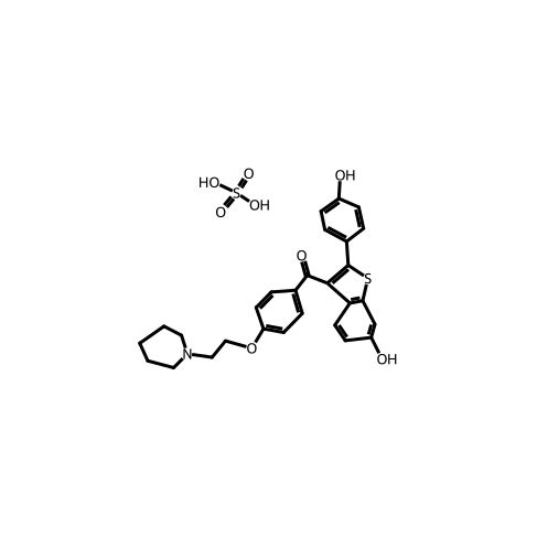 O=C(c1ccc(OCCN2CCCCC2)cc1)c1c(-c2ccc(O)cc2)sc2cc(O)ccc12.O=S(=O)(O)O